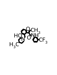 Cc1oc2ccc(O)c(CN3CCC(C)CC3)c2c1C(=O)Nc1cccc(C(F)(F)F)c1